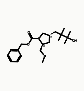 COC[C@@H]1C[C@@H](CC(C)(C)[Si](C)(C)O)CN1C(=O)OCc1ccccc1